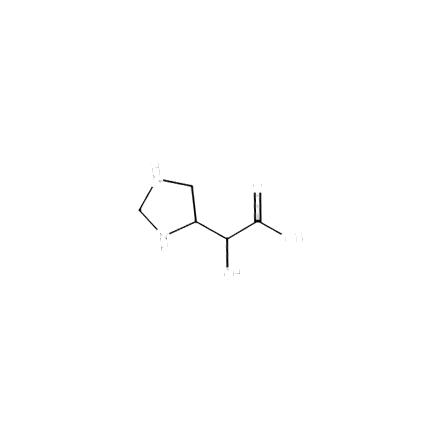 CC(C(=O)O)C1CNCN1